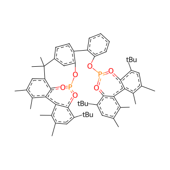 Cc1cc(C(C)(C)C)c2op(Oc3ccccc3-c3ccc4cc3Op3oc5c(C(C)(C)C)cc(C)c(C)c5c5c(C)c(C)cc(c5o3)C4(C)C)oc3c(C(C)(C)C)cc(C)c(C)c3c2c1C